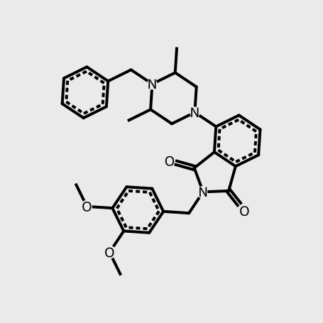 COc1ccc(CN2C(=O)c3cccc(N4CC(C)N(Cc5ccccc5)C(C)C4)c3C2=O)cc1OC